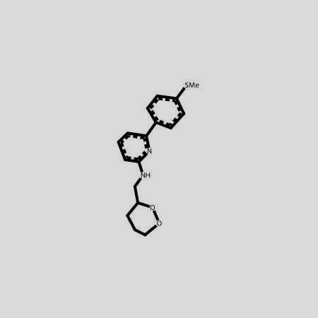 CSc1ccc(-c2cccc(NCC3CCCOO3)n2)cc1